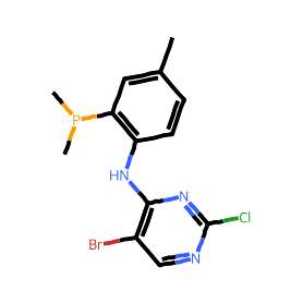 Cc1ccc(Nc2nc(Cl)ncc2Br)c(P(C)C)c1